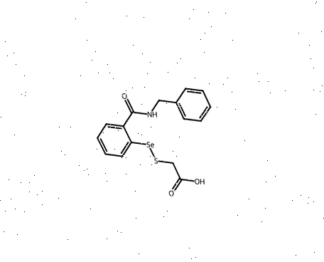 O=C(O)CS[Se]c1ccccc1C(=O)NCc1ccccc1